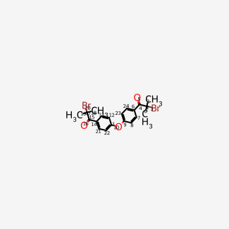 CC(C)(Br)C(=O)c1ccc(Oc2ccc(C(=O)C(C)(C)Br)cc2)cc1